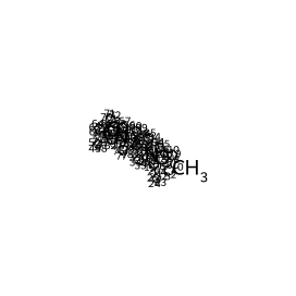 Cc1ccccc1-c1cccc2c1oc1c(N(c3ccc(C4CCCC4)cc3)c3cc4c(c5ccccc35)-c3c(cc(N(c5ccc(C6CCCC6)cc5)c5cccc6c5oc5c(-c7ccccc7C)cccc56)c5ccccc35)C4(c3ccccc3)c3ccccc3)cccc12